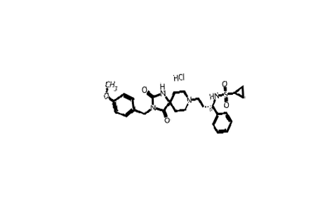 COc1ccc(CN2C(=O)NC3(CCN(CC[C@H](NS(=O)(=O)C4CC4)c4ccccc4)CC3)C2=O)cc1.Cl